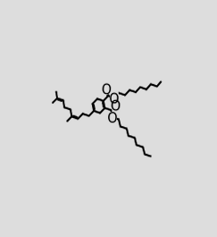 CCCCCCCCCOC(=O)C1=C(C(=O)OCCCCCCCCC)CC(CCC=C(C)CCC=C(C)C)=CC1